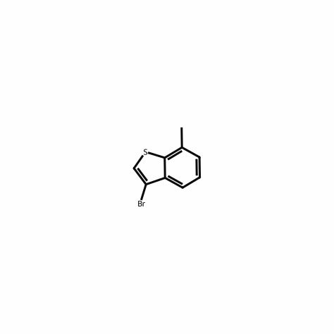 Cc1cccc2c(Br)csc12